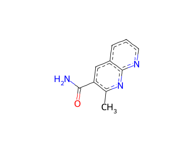 Cc1nc2ncccc2cc1C(N)=O